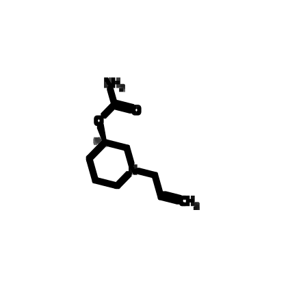 C=CCN1CCC[C@@H](OC(N)=O)C1